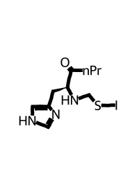 CCCC(=O)[C@H](Cc1c[nH]cn1)NCSI